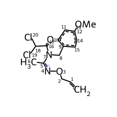 C=CCO/N=C(/C)N(Cc1ccc(OC)cc1)C(=O)C(Cl)Cl